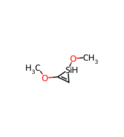 COC1=C[SiH]1OC